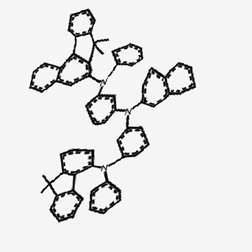 CC1(C)c2ccccc2-c2c(N(c3ccccc3)c3cccc(N(c4cccc(N(c5ccccc5)c5cc6ccccc6c6c5C(C)(C)c5ccccc5-6)c4)c4ccc5ccccc5c4)c3)cccc21